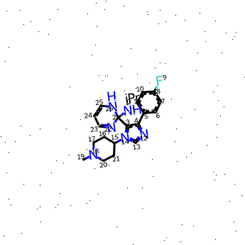 CC(C)NC1(c2c(-c3ccc(F)cc3)ncn2C2CCN(C)CC2)N=CC=CN1